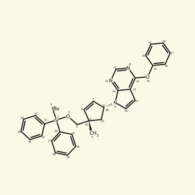 CC(C)(C)[Si](OC[C@]1(C)C=C[C@H](n2ccc3c(Oc4ccccc4)ncnc32)C1)(c1ccccc1)c1ccccc1